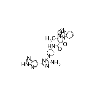 Cc1c(C(=O)NC2CCN(c3nc(-c4cnc5[nH]cnc5c4)cnc3N)CC2)c(=O)n(-c2ccccc2Cl)n1C